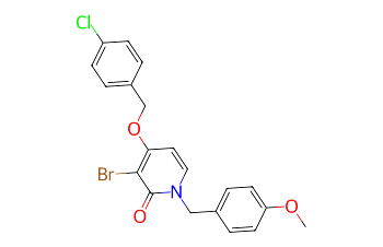 COc1ccc(Cn2ccc(OCc3ccc(Cl)cc3)c(Br)c2=O)cc1